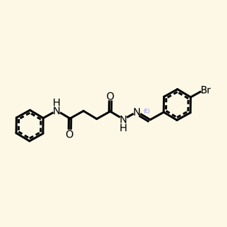 O=C(CCC(=O)Nc1ccccc1)N/N=C/c1ccc(Br)cc1